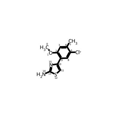 COc1cc(C)c(Cl)cc1-c1csc(N)n1